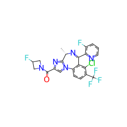 C[C@@H]1N=C(c2ncccc2F)c2c(ccc(C(F)(F)F)c2Cl)-n2cc(C(=O)N3CC(F)C3)nc21